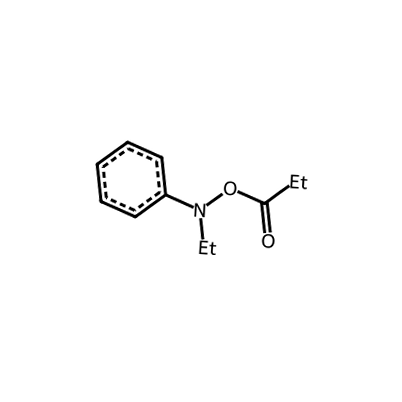 CCC(=O)ON(CC)c1ccccc1